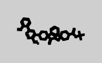 CC(C)(C)OC(=O)N1CCC2(CC1)CN(C(=O)C1(c3ccccc3)CCN(c3cc(-c4ccccc4O)nnc3N)CC1)C2